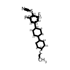 CCCC1CCC(C2CCC(c3cc(F)c(SC#N)c(F)c3)CC2)CC1